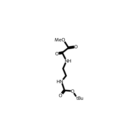 COC(=O)C(=O)NCCNC(=O)OC(C)(C)C